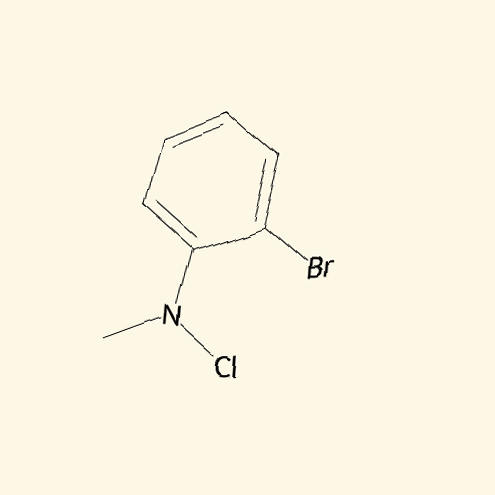 CN(Cl)c1ccccc1Br